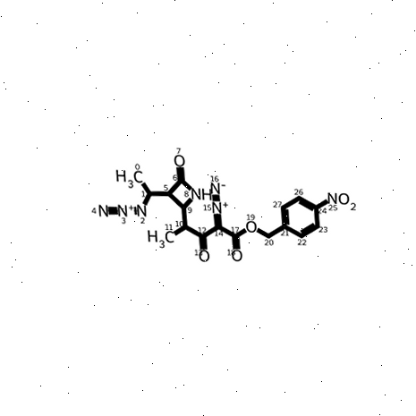 CC(N=[N+]=[N-])C1C(=O)NC1C(C)C(=O)C(=[N+]=[N-])C(=O)OCc1ccc([N+](=O)[O-])cc1